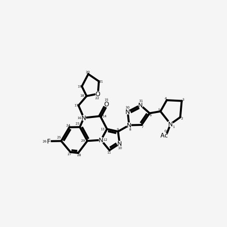 CC(=O)N1CCCC1c1cn(-c2ncn3c2c(=O)n(CC2CCCO2)c2cc(F)ccc23)nn1